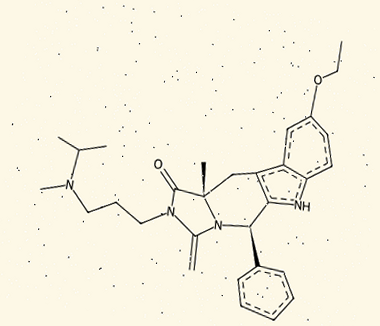 C=C1N(CCCN(C)C(C)C)C(=O)[C@]2(C)Cc3c([nH]c4ccc(OCC)cc34)[C@@H](c3ccccc3)N12